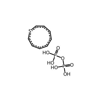 O=P(O)(O)OP(=O)(O)O.c1ccccsccc1